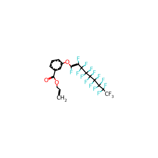 C=CCOC(=O)c1cccc(OC(F)=C(F)C(F)(F)C(F)(F)C(F)(F)C(F)(F)C(F)(F)C(F)(F)C(F)(F)F)c1